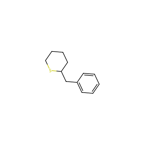 c1ccc(CC2CCCCS2)cc1